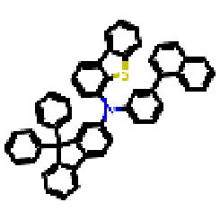 c1ccc(C2(c3ccccc3)c3ccccc3-c3ccc(N(c4cccc(-c5cccc6ccccc56)c4)c4cccc5c4sc4ccccc45)cc32)cc1